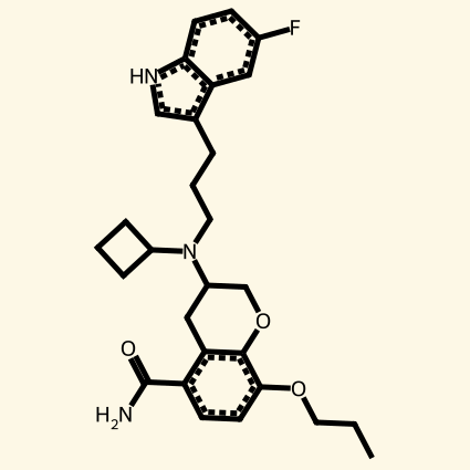 CCCOc1ccc(C(N)=O)c2c1OCC(N(CCCc1c[nH]c3ccc(F)cc13)C1CCC1)C2